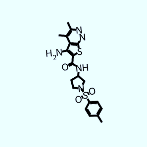 Cc1ccc(S(=O)(=O)N2CCC(NC(=O)c3sc4nnc(C)c(C)c4c3N)C2)cc1